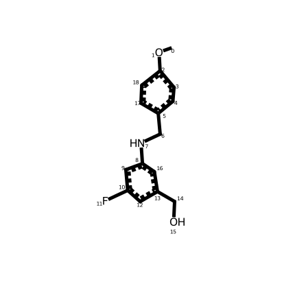 COc1ccc(CNc2cc(F)cc(CO)c2)cc1